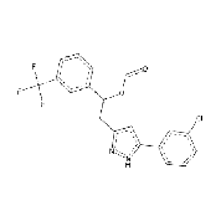 O=COC(Cc1cc(-c2cccc(Cl)c2)[nH]n1)c1cccc(C(F)(F)F)c1